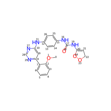 COc1ccccc1-c1cc(Nc2ccc(NC(=O)NC3=CCOO3)cc2)ncn1